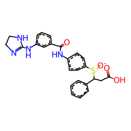 O=C(O)CC(c1ccccc1)[S+]([O-])c1ccc(NC(=O)c2cccc(NC3=NCCN3)c2)cc1